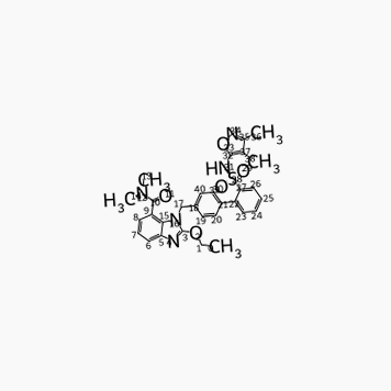 CCOc1nc2cccc(C(=O)N(C)C)c2n1Cc1ccc(-c2ccccc2S(=O)(=O)Nc2onc(C)c2C)cc1